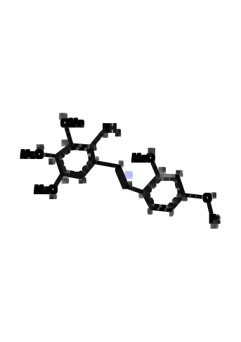 Bc1c(/C=C/c2ccc(OCC)cc2OC)cc(OC)c(OC)c1OC